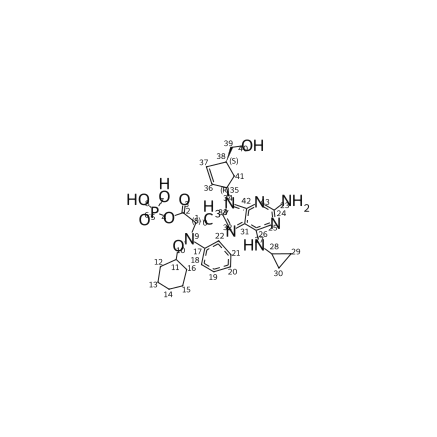 C[C@@H](C(=O)OP(=O)(O)O)N(OC1CCCCC1)c1ccccc1.Nc1nc(NC2CC2)c2ncn([C@H]3C=C[C@@H](CO)C3)c2n1